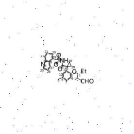 CC[C@H](CC=O)Oc1ccc(C)cc1C1(C(=O)NS(=O)(=O)c2cccc3ncccc23)CC1